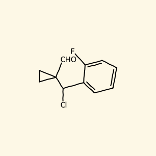 O=CC1(C(Cl)c2ccccc2F)CC1